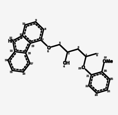 [CH2]C(CC(O)COc1cccc2[nH]c3ccccc3c12)Oc1ccccc1OC